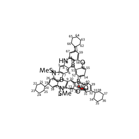 CSN1c2cc3c(cc2B2c4cc5c(cc4N(SC)c4cc(C6CCCCC6)cc1c42)Oc1cc(C2CCCCC2)cc2c1B5c1ccccc1O2)B1c2ccccc2Oc2cc(C4CCCCC4)cc(c21)N3